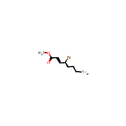 CCCCC(Br)/C=C/C(=O)OC